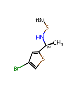 C[C@H](NSC(C)(C)C)c1cc(Br)cs1